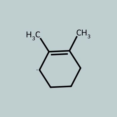 CC1=C(C)CCC[CH]1